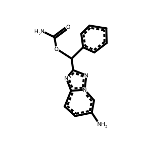 NC(=O)OC(c1ccccc1)c1nc2ccc(N)cn2n1